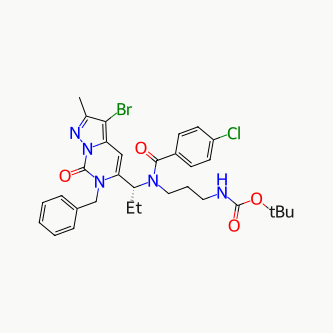 CC[C@H](c1cc2c(Br)c(C)nn2c(=O)n1Cc1ccccc1)N(CCCNC(=O)OC(C)(C)C)C(=O)c1ccc(Cl)cc1